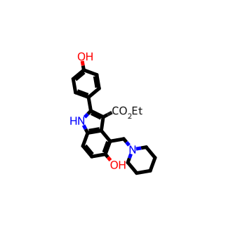 CCOC(=O)c1c(-c2ccc(O)cc2)[nH]c2ccc(O)c(CN3CCCCC3)c12